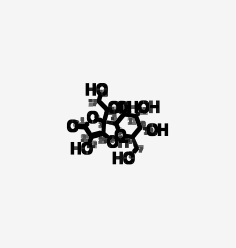 O=C1O[C@](C2O[C@H](CO)[C@@H](O)[C@H](O)[C@H]2O)([C@@H](O)CO)C(O)=C1O